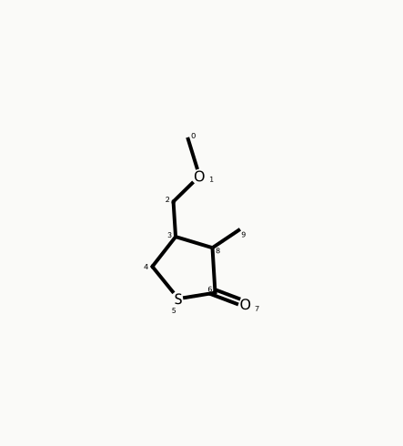 COCC1CSC(=O)C1C